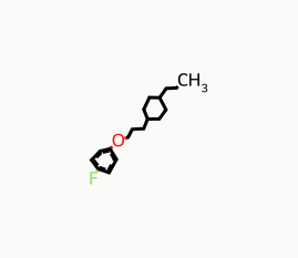 CCCC1CCC(CCCOc2ccc(F)cc2)CC1